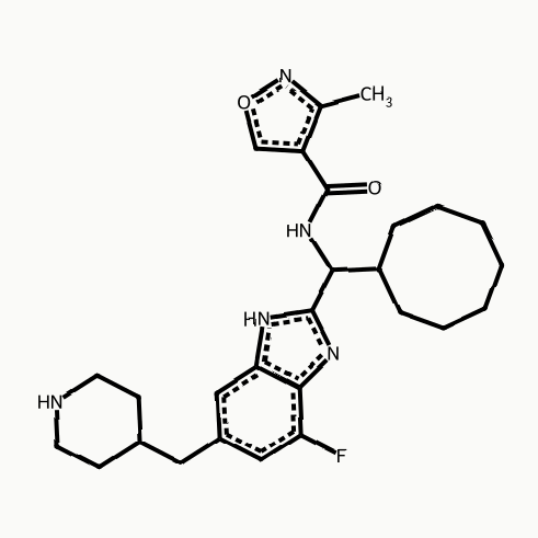 Cc1nocc1C(=O)NC(c1nc2c(F)cc(CC3CCNCC3)cc2[nH]1)C1CCCCCCC1